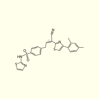 Cc1ccc(-c2csc(/C(C#N)=C\Cc3ccc(S(=O)(=O)Nc4nccs4)cc3)n2)c(C)c1